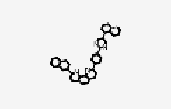 c1ccc2cc(-c3ccc4ccc5ccc(-c6ccc(-c7ncc(-c8cccc9ccccc89)cn7)cc6)nc5c4n3)ccc2c1